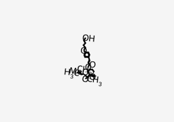 CO[C@@H]1[C@H](OC(=O)/C=C/c2ccc(OCCCCO)cc2)CC[C@]2(CO2)[C@H]1[C@@]1(C)O[C@@H]1CC=C(C)C